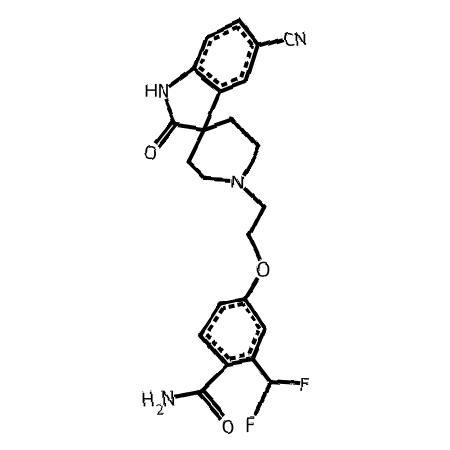 N#Cc1ccc2c(c1)C1(CCN(CCOc3ccc(C(N)=O)c(C(F)F)c3)CC1)C(=O)N2